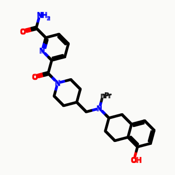 CCCN(CC1CCN(C(=O)c2cccc(C(N)=O)n2)CC1)C1CCc2c(O)cccc2C1